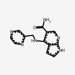 NC(=O)c1cnc2[nH]ccc2c1NCc1cnccn1